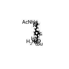 CC(=O)Nc1nc(CCc2ccc(CNC(=O)N(N)C(C)(C)C)c(F)c2)cs1